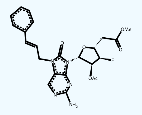 COC(=O)C[C@H]1O[C@@H](n2c(=O)n(C/C=C/c3ccccc3)c3cnc(N)nc32)[C@H](OC(C)=O)[C@@H]1F